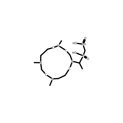 CC(N1CCCN(C)CCN(C)CCCN(C)CC1)P(=O)(O)C[PH](=O)O